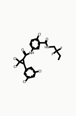 CCC(F)(F)CNC(=O)c1cc(NC(=O)C2C(c3cc(Cl)cc(Cl)c3)C2(Cl)Cl)ccc1Cl